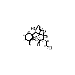 CC1=C(C)C([C@H](O)C23NC(=O)[C@H](CCCl)[C@@]2(C)OC3=O)CCC1